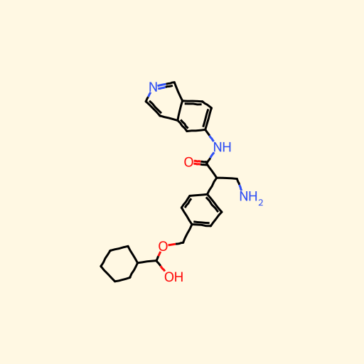 NCC(C(=O)Nc1ccc2cnccc2c1)c1ccc(COC(O)C2CCCCC2)cc1